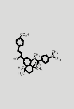 CN(C)c1ccc(C(=O)N(C)c2cc(C(O)/C=C/c3ccc(C(=O)O)cc3)cc3c2C(C)(C)CCC3(C)C)cc1